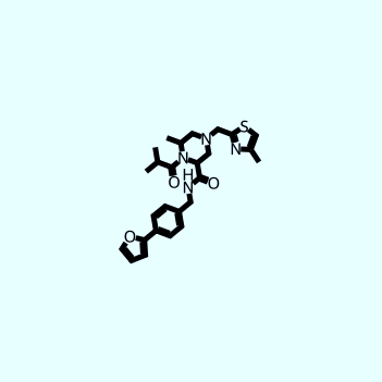 Cc1csc(CN2CC(C)N(C(=O)C(C)C)C(C(=O)NCc3ccc(-c4ccco4)cc3)C2)n1